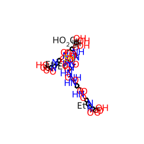 CCc1c2c(nc3ccc(OCNC(=O)OCc4ccc(O[C@@H]5C[C@H](C(=O)O)[C@@H](O)[C@H](O)[C@H]5O)c(NC(=O)CN(C)C(=O)CCNC(=O)CN(CCN5C(=O)CC(S)C5=O)CC(=O)NCC(=O)NCC(=O)Nc5ccc(COC(=O)NCOc6ccc7nc8c(c(CC)c7c6)Cn6c-8cc7c(c6=O)COC(=O)[C@@]7(C)O)cc5)c4)cc13)-c1cc3c(c(=O)n1C2)COC(=O)[C@]3(O)CC